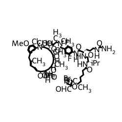 COc1cc2cc(c1Cl)N(C)C(O)C[C@H](OC(=O)[C@H](C)N(C)C(=O)c1cc(F)c(NC(=O)[C@H](CCCNC(N)=O)NC(=O)[C@@H](NC(=O)CCCCC(C)(C)OC(C=O)(CBr)CBr)C(C)C)cc1F)[C@]1(C)O[C@H]1[C@H](C)[C@@H]1C[C@@](O)(NC(=O)O1)[C@H](OC)/C=C/C=C(\C)C2